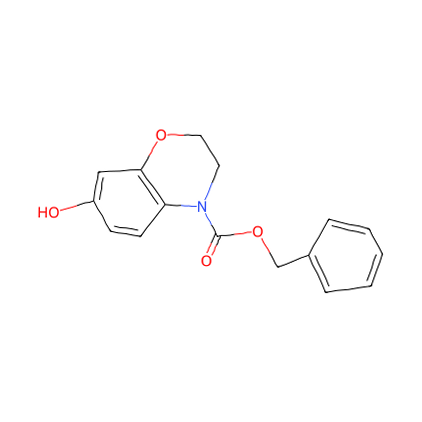 O=C(OCc1ccccc1)N1CCOc2cc(O)ccc21